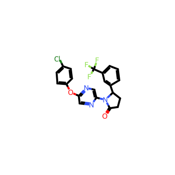 O=C1CCC(c2cccc(C(F)(F)F)c2)N1c1cnc(Oc2ccc(Cl)cc2)cn1